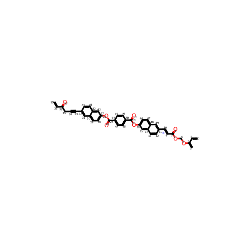 C=CC(=C)OCOC(=O)/C=C/c1ccc2cc(OC(=O)c3ccc(C(=O)Oc4ccc5cc(C#CCC(=O)C=C)ccc5c4)cc3)ccc2c1